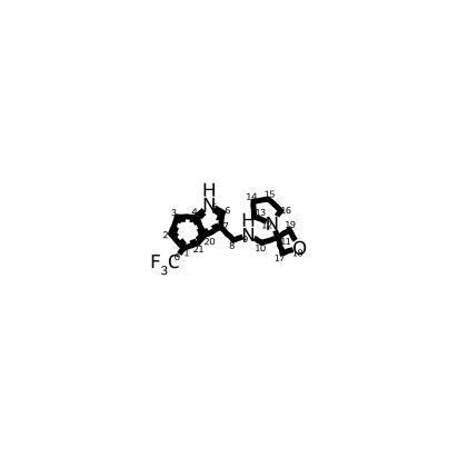 FC(F)(F)c1ccc2[nH]cc(CNCC3(N4CCCC4)COC3)c2c1